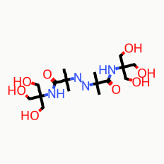 CC(C)(N=NC(C)(C)C(=O)NC(CO)(CO)CO)C(=O)NC(CO)(CO)CO